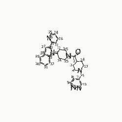 O=C(C1CCN(Cc2ccnnc2)CC1)N1CCC(n2c(-c3ccccn3)cc3ccccc32)CC1